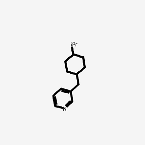 CC(C)C1CCC(Cc2cccnc2)CC1